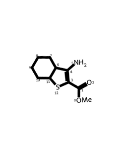 COC(=O)C1=C(N)C2CCCCC2S1